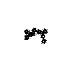 c1ccc(-c2ccc(N(c3ccccc3)c3ccc(-c4cccc5c4sc4ccc(N(c6ccccc6)c6ccccc6)cc45)cc3)cc2)cc1